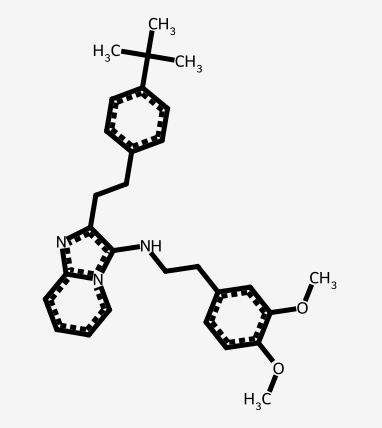 COc1ccc(CCNc2c(CCc3ccc(C(C)(C)C)cc3)nc3ccccn23)cc1OC